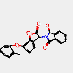 Cc1ccccc1Oc1cccc2c1OC(=O)C2N1C(=O)c2ccccc2C1=O